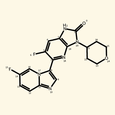 O=c1[nH]c2cc(F)c(-c3cnc4ccc(F)cn34)nc2n1C1CCOCC1